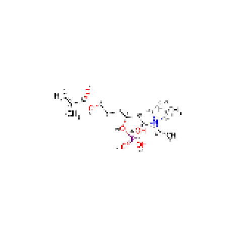 C=C(C)C(=O)OCCCC(CC[N+](CC)(CC)CC)OP(=O)(O)O